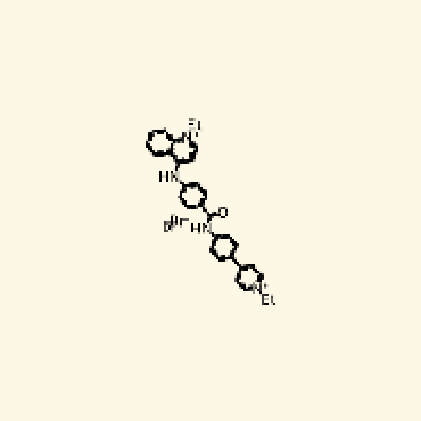 CC[n+]1ccc(-c2ccc(NC(=O)c3ccc(Nc4cc[n+](CC)c5ccccc45)cc3)cc2)cc1.[Br-].[Br-]